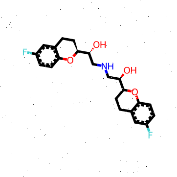 O[C@H](CNC[C@@H](O)[C@@H]1CCc2cc(F)ccc2O1)C1CCc2cc(F)ccc2O1